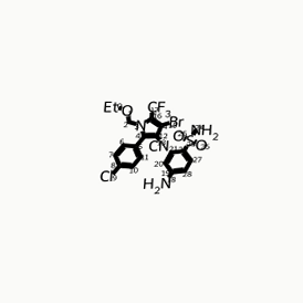 CCOCn1c(-c2ccc(Cl)cc2)c(C#N)c(Br)c1C(F)(F)F.Nc1ccc(S(N)(=O)=O)cc1